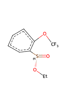 CCO[S@@](=O)c1ccccc1OC(F)(F)F